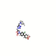 CN(C)Cc1cn(C[C@H]2CN(c3ccc(C4=CCS(=O)(=O)CC4)c(F)c3)C(=O)O2)nn1